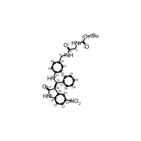 CC(C)(C)OC(=O)NCC(=O)NCc1ccc(N/C(=C2\C(=O)Nc3ccc([N+](=O)[O-])cc32)c2ccccc2)cc1